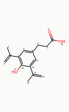 C=C(C)c1cc(CCC(=O)O)cc(C(=C)C)c1O